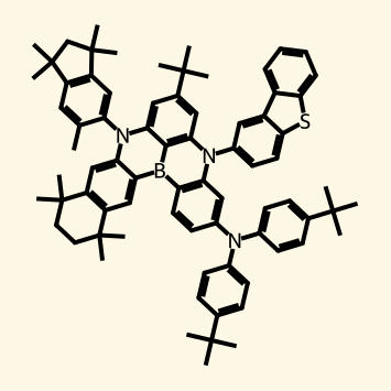 Cc1cc2c(cc1N1c3cc4c(cc3B3c5ccc(N(c6ccc(C(C)(C)C)cc6)c6ccc(C(C)(C)C)cc6)cc5N(c5ccc6sc7ccccc7c6c5)c5cc(C(C)(C)C)cc1c53)C(C)(C)CCC4(C)C)C(C)(C)CC2(C)C